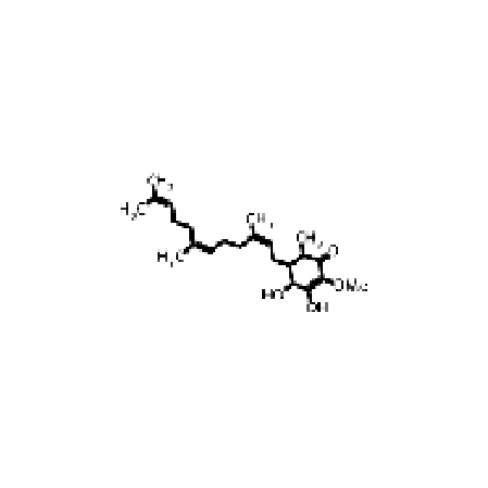 COC1=C(O)C(O)C(CC=C(C)CCC=C(C)CCC=C(C)C)C(C)C1=O